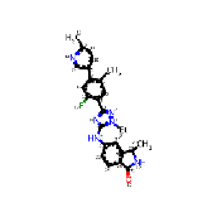 CCn1nc(-c2cc(C)c(-c3ccc(C)nc3)cc2F)nc1Nc1ccc2c(c1)C(C)NC2=O